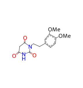 COc1ccc(CCN2C(=O)CC(=O)NC2=O)cc1OC